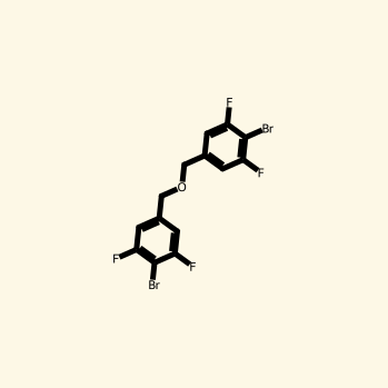 Fc1cc(COCc2cc(F)c(Br)c(F)c2)cc(F)c1Br